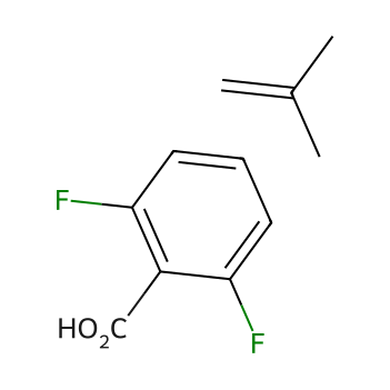 C=C(C)C.O=C(O)c1c(F)cccc1F